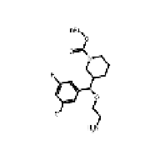 CCCCOC(=O)N1CCCC([C@@H](OCCN)c2cc(F)cc(Cl)c2)C1